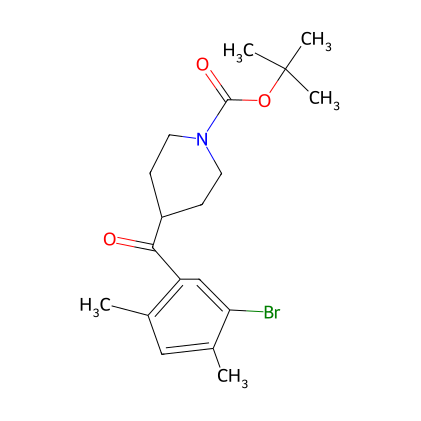 Cc1cc(C)c(C(=O)C2CCN(C(=O)OC(C)(C)C)CC2)cc1Br